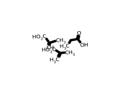 C=C(C)C(=O)O.C=C(C)C(=O)O.CCC(=O)O